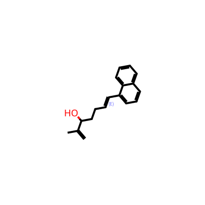 C=C(C)C(O)CC/C=C/c1cccc2ccccc12